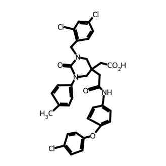 Cc1ccc(N2CC(CC(=O)O)(CC(=O)Nc3ccc(Oc4ccc(Cl)cc4)cc3)CN(Cc3ccc(Cl)cc3Cl)C2=O)cc1